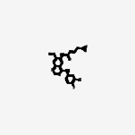 COc1cc2ncnc(Nc3ccc(F)c(Cl)c3)c2cc1NC(=O)/C=C/CC1CC1